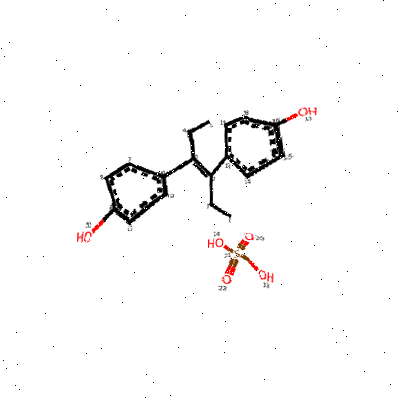 CC/C(=C(/CC)c1ccc(O)cc1)c1ccc(O)cc1.O=S(=O)(O)O